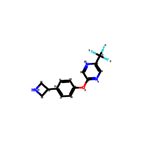 FC(F)(F)c1cnc(Oc2ccc(C3CNC3)cc2)cn1